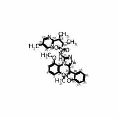 COc1cccc(OC)c1-n1c(NS(=O)(=O)[C@@H](C)[C@H](C)c2ncc(C)cn2)nnc1-c1noc2ccccc12